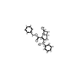 O=C(OCc1ccccc1)C1=C([S+]([O-])c2ccccc2)CC2CC(=O)N12